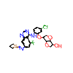 OC1COC2C(Oc3cc(Cl)ccc3Nc3ncnc4cc(N=S5CCC5)cc(F)c34)COC12